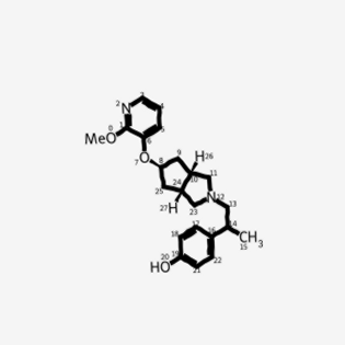 COc1ncccc1O[C@H]1C[C@@H]2CN(CC(C)c3ccc(O)cc3)C[C@@H]2C1